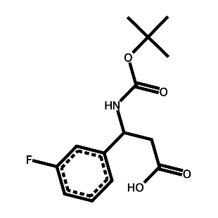 CC(C)(C)OC(=O)NC(CC(=O)O)c1cccc(F)c1